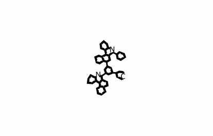 c1ccc(-c2cc(-c3cc4c(-c5ccccc5)nc5ccccc5c4c4ccccc34)cc(-c3nc4ccccc4c4c3ccc3ccccc34)c2)cc1